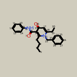 CCCCc1c(C(=O)Nc2ccccc2)c(=O)cc(CC)n1Cc1ccccc1